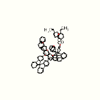 C=Cc1ccc(OCCCCC2(c3ccccc3)c3ccccc3-c3ccc(N(c4ccc(-c5ccccc5)cc4)c4ccc5c(c4)C4(c6ccccc6-5)c5ccccc5-c5ccc(N(c6ccc(-c7ccccc7)cc6)c6ccc7c(c6)C(CCCCOc6ccc(C=C)cc6)(c6ccccc6)c6ccccc6-7)cc54)cc32)cc1